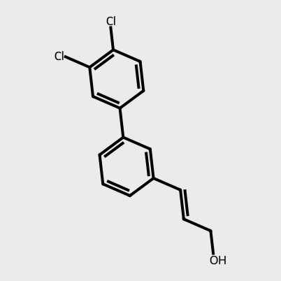 OCC=Cc1cccc(-c2ccc(Cl)c(Cl)c2)c1